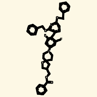 O=C(OCC1COC2(CCN(c3cc(F)c(-c4ccc(OCc5ccccc5)nc4OCc4ccccc4)c(F)c3)CC2)C1)c1ccccc1